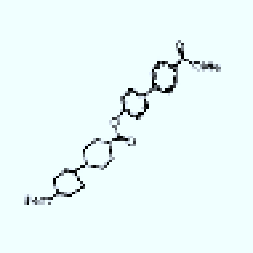 CCCC(C)C1CCC(C2CCC(C(=O)Oc3ccc(-c4ccc(C(=O)OC)cc4)cc3)CC2)CC1